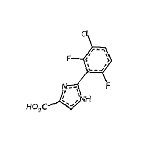 O=C(O)c1c[nH]c(-c2c(F)ccc(Cl)c2F)n1